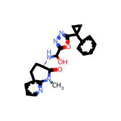 CN1C(=O)[C@@H](NC(O)c2nnc(C3(c4ccccc4)CC3)o2)CCc2cccnc21